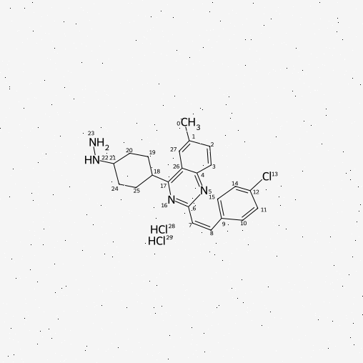 Cc1ccc2nc(/C=C\c3ccc(Cl)cc3)nc(C3CCC(NN)CC3)c2c1.Cl.Cl